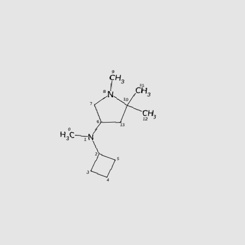 CN(C1CCC1)C1CN(C)C(C)(C)C1